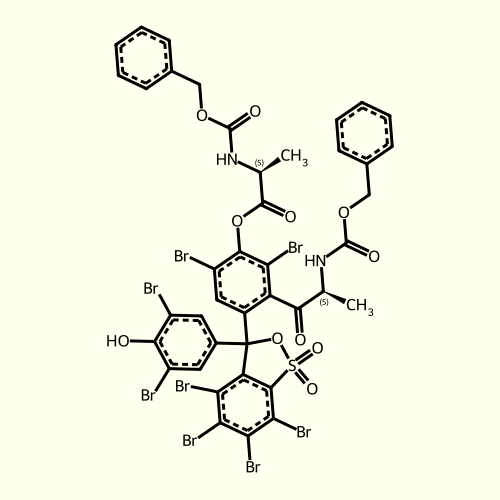 C[C@H](NC(=O)OCc1ccccc1)C(=O)Oc1c(Br)cc(C2(c3cc(Br)c(O)c(Br)c3)OS(=O)(=O)c3c(Br)c(Br)c(Br)c(Br)c32)c(C(=O)[C@H](C)NC(=O)OCc2ccccc2)c1Br